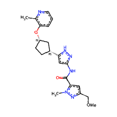 COCc1cc(C(=O)Nc2cc([C@@H]3CC[C@H](Oc4cccnc4C)C3)[nH]n2)n(C)n1